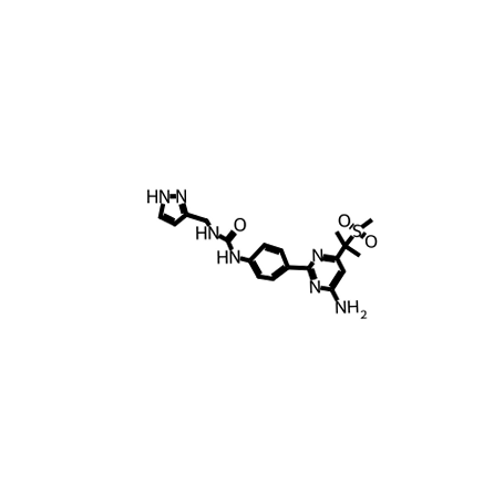 CC(C)(c1cc(N)nc(-c2ccc(NC(=O)NCc3cc[nH]n3)cc2)n1)S(C)(=O)=O